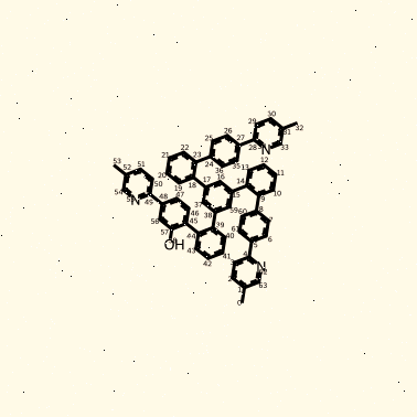 Cc1ccc(-c2ccc(-c3ccccc3-c3cc(-c4ccccc4-c4ccc(-c5ccc(C)cn5)cc4)cc(-c4ccccc4-c4ccc(-c5ccc(C)cn5)cc4O)c3)cc2)nc1